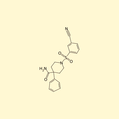 N#Cc1cccc(S(=O)(=O)N2CCC(C(N)=O)(c3ccccc3)CC2)c1